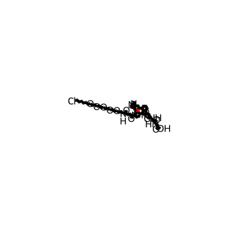 Cn1ncc2cc(F)c(-c3cccc4c3c(C3CCN(C(=O)CCC(=O)NCCOCCOCCOCCOCCOCCCCCCCl)CC3)nn4CC(=O)NCC(=O)NCC(=O)O)cc21